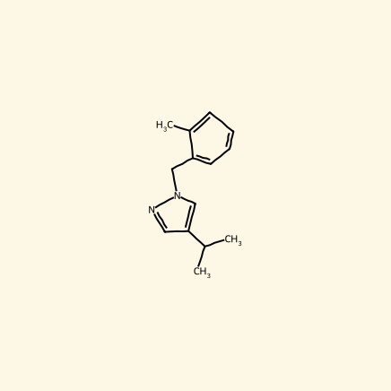 Cc1ccccc1Cn1cc(C(C)C)cn1